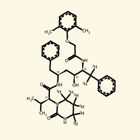 [2H]C([2H])(c1ccccc1)[C@H](NC(=O)COc1c(C)cccc1C)[C@@H](O)C[C@H](Cc1ccccc1)NC(=O)[C@H](C(C)C)N1C(=O)NC([2H])([2H])C([2H])([2H])C1([2H])[2H]